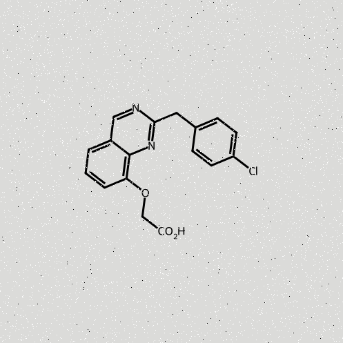 O=C(O)COc1cccc2cnc(Cc3ccc(Cl)cc3)nc12